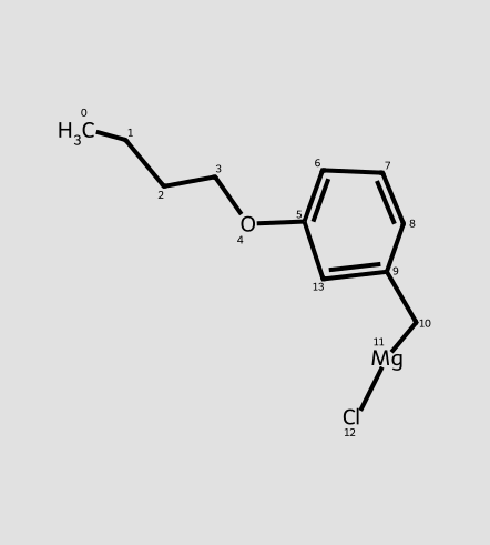 CCCCOc1cccc([CH2][Mg][Cl])c1